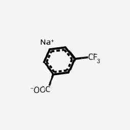 O=C([O-])c1cccc(C(F)(F)F)c1.[Na+]